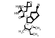 CC[C@H](OC)[C@@H](C)C[C@H]1Cc2ccc(C#N)cc2[C@H]1C(=O)N(CC1(C)COC1)C(=N)N